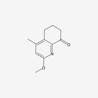 COc1cc(C)c2c(n1)C(=O)CCC2